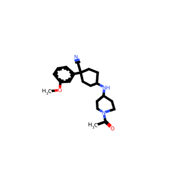 COc1cccc(C2(C#N)CCC(NC3CCN(C(C)=O)CC3)CC2)c1